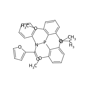 COc1cccc(OC)c1P(c1c(OC)cccc1OC)N(C(=O)c1ccco1)c1ccccc1